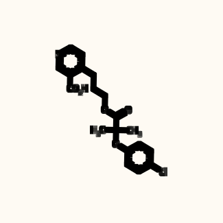 CC(C)(Oc1ccc(Cl)cc1)C(=O)OCCCc1ccncc1C(=O)O